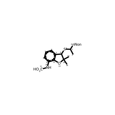 CCCCCCCCCC(C)SC1c2cccc(NC(=O)O)c2OC1(C)C